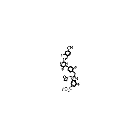 N#Cc1ccc(COc2ncc(F)c(-c3ccc(Cc4nc5c(F)cc(C(=O)O)cc5n4C[C@@H]4CCO4)c(F)c3)n2)c(F)c1